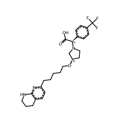 O=C(O)[C@@H](c1ccc(C(F)(F)F)cc1)N1CC[C@@H](OCCCCCc2ccc3c(n2)NCCC3)C1